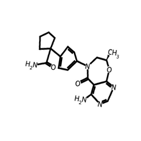 C[C@@H]1CN(c2ccc(C3(C(N)=O)CCCC3)cc2)C(=O)c2c(N)ncnc2O1